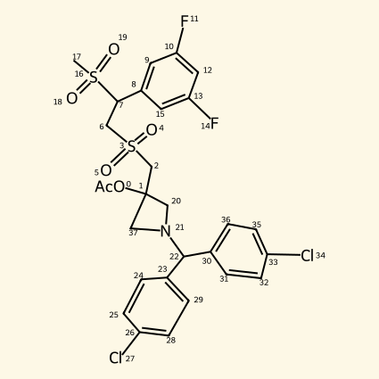 CC(=O)OC1(CS(=O)(=O)CC(c2cc(F)cc(F)c2)S(C)(=O)=O)CN(C(c2ccc(Cl)cc2)c2ccc(Cl)cc2)C1